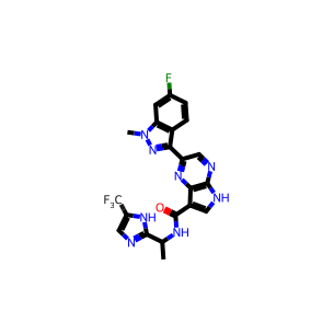 CC(NC(=O)c1c[nH]c2ncc(-c3nn(C)c4cc(F)ccc34)nc12)c1ncc(C(F)(F)F)[nH]1